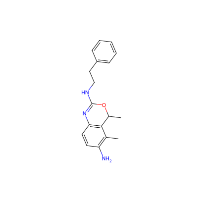 Cc1c(N)ccc2c1C(C)OC(NCCc1ccccc1)=N2